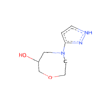 OC1COCCN(c2cc[nH]n2)C1